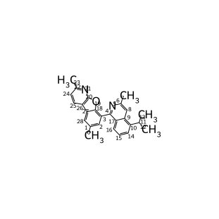 Cc1cc(-c2nc(C)cc3c(C(C)C)cccc23)c2oc3nc(C)ccc3c2c1